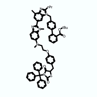 CCCc1nc2c(C)cc(-c3nc4ccc(N(C)CCOc5ccc(CC6SC(=O)N(C(c7ccccc7)(c7ccccc7)c7ccccc7)C6=O)cc5)cc4n3C)cc2n1Cc1ccc(-c2ccccc2C(=O)OC(C)(C)C)cc1